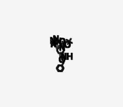 Cn1nnnc1[C@H]1CC[C@H](NOCc2ccccc2)CN1C(=O)OC(C)(C)C